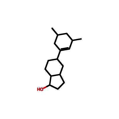 CC1C=C(C2CCC3C(O)CCC3C2)CC(C)C1